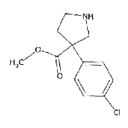 COC(=O)C1(c2ccc(Cl)cc2)CCNC1